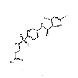 O=C(O)CCNS(=O)(=O)c1ccc(NC(=O)c2ccc(Cl)cc2Cl)cc1